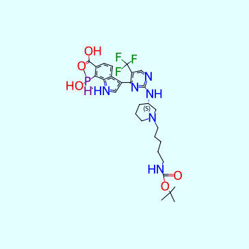 CC(C)(C)OC(=O)NCCCCCN1CCC[C@H](Nc2ncc(C(F)(F)F)c(-c3c[nH]c4c([PH](C)(C)O)c(C(=O)O)ccc34)n2)C1